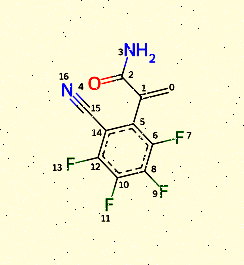 C=C(C(N)=O)c1c(F)c(F)c(F)c(F)c1C#N